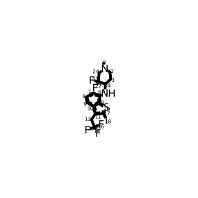 CN1CCC(Nc2cccc3c(CC(F)(F)F)c(I)sc23)C(F)(F)C1